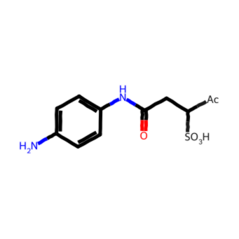 CC(=O)C(CC(=O)Nc1ccc(N)cc1)S(=O)(=O)O